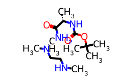 CNCCN(C)C.C[C@H](NC(=O)OC(C)(C)C)C(N)=O